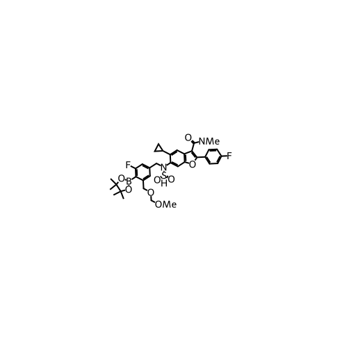 CNC(=O)c1c(-c2ccc(F)cc2)oc2cc(N(Cc3cc(F)c(B4OC(C)(C)C(C)(C)O4)c(COCOC)c3)[SH](=O)=O)c(C3CC3)cc12